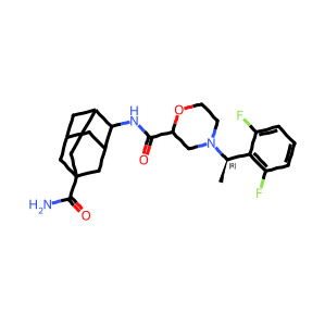 C[C@H](c1c(F)cccc1F)N1CCOC(C(=O)NC2C3CC4CC2CC(C(N)=O)(C4)C3)C1